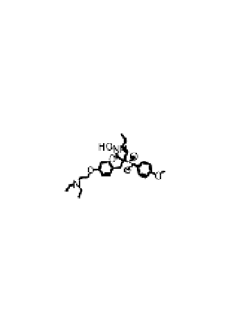 CCC=CC(Cc1ccc(OCCN(CC)CC)cc1)(C(=O)NO)S(=O)(=O)c1ccc(OC)cc1